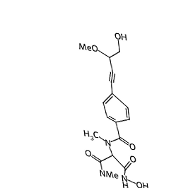 CNC(=O)C(C(=O)NO)N(C)C(=O)c1ccc(C#CC(CO)OC)cc1